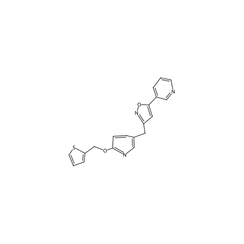 c1cncc(-c2cc(Cc3ccc(OCc4cccs4)nc3)no2)c1